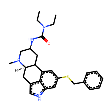 CCN(CC)C(=O)N[C@H]1CC2c3cc(SCc4ccccc4)cc4[nH]cc(c34)C[C@H]2N(C)C1